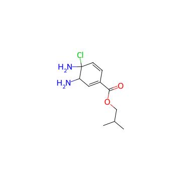 CC(C)COC(=O)C1=CC(N)C(N)(Cl)C=C1